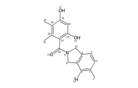 [2H]c1c(C)ccc2c1CN(C(=O)c1c(O)cc(O)c(C)c1C)C2